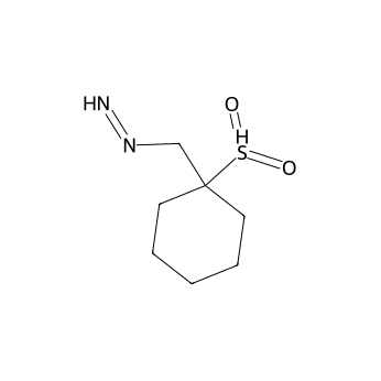 N=NCC1([SH](=O)=O)CCCCC1